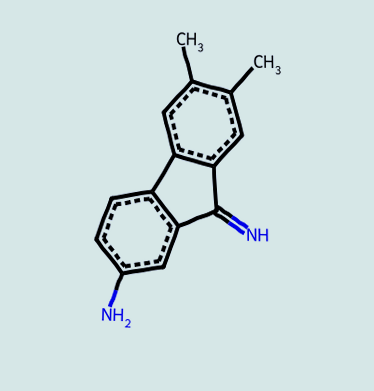 Cc1cc2c(cc1C)-c1ccc(N)cc1C2=N